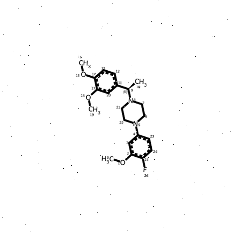 COc1cc(N2CCN([C@H](C)c3ccc(OC)c(OC)c3)CC2)ccc1F